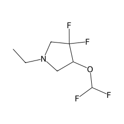 CCN1CC(OC(F)F)C(F)(F)C1